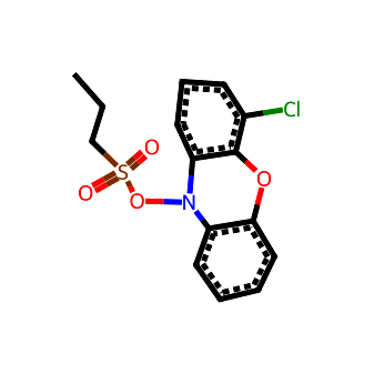 CCCS(=O)(=O)ON1c2ccccc2Oc2c(Cl)cccc21